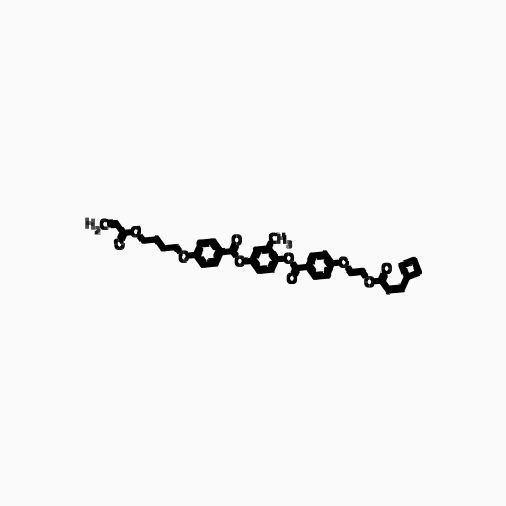 C=CC(=O)OCCCCOc1ccc(C(=O)Oc2ccc(OC(=O)c3ccc(OCCOC(=O)/C=C\C4CCC4)cc3)c(C)c2)cc1